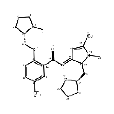 CN1CCC[C@H]1COc1ccc(C(F)(F)F)cc1C(=O)/N=c1\cc(C(C)(C)C)n(C)n1C[C@H]1CCCO1